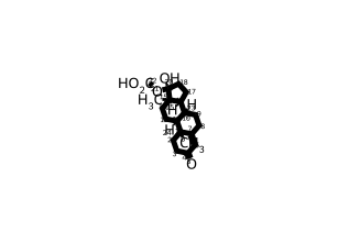 C[C@]12CCC(=O)C=C1CC[C@@H]1[C@@H]2CC[C@@]2(C)[C@H]1CC[C@]2(O)OC(=O)O